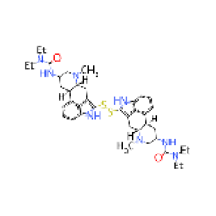 CCN(CC)C(=O)NC1C[C@@H]2c3cccc4[nH]c(SSc5[nH]c6cccc7c6c5C[C@@H]5[C@@H]7CC(NC(=O)N(CC)CC)CN5C)c(c34)C[C@H]2N(C)C1